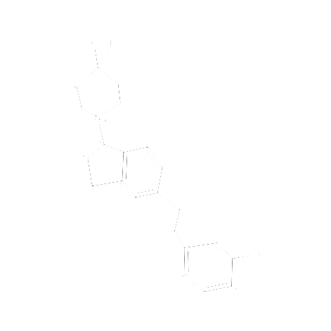 O=C(O)C1CCN(C2CCc3cc(CCc4cccc(F)c4)ccc32)CC1